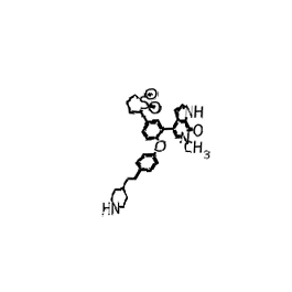 Cn1cc(-c2cc(C3CCCS3(=O)=O)ccc2Oc2ccc(CCC3CCNCC3)cc2)c2cc[nH]c2c1=O